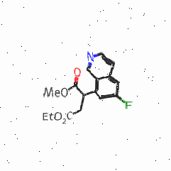 CCOC(=O)CC(C(=O)OC)c1cc(F)cc2ccncc12